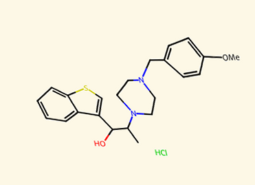 COc1ccc(CN2CCN(C(C)C(O)c3csc4ccccc34)CC2)cc1.Cl